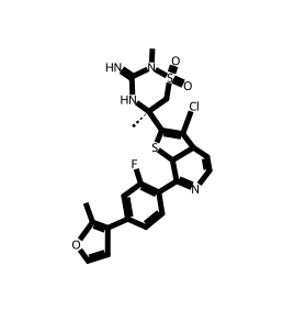 Cc1occc1-c1ccc(C2=NC=CC3C(Cl)=C([C@]4(C)CS(=O)(=O)N(C)C(=N)N4)SC23)c(F)c1